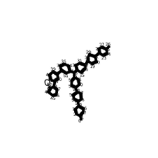 Cc1ccc(-c2ccc(-c3ccc(C(c4ccc(-c5ccc(-c6ccc(C)cc6)cc5)cc4)c4cccc(-c5ccc6oc7ccccc7c6c5)c4)cc3)cc2)cc1